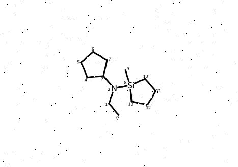 CCN(C1CCCC1)[Si]1(C)CCCC1